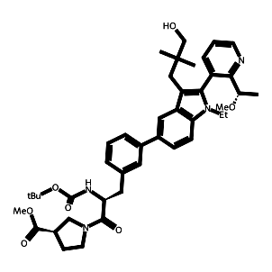 CCn1c(-c2cccnc2[C@H](C)OC)c(CC(C)(C)CO)c2cc(-c3cccc(C[C@H](NC(=O)OC(C)(C)C)C(=O)N4CC[C@@H](C(=O)OC)C4)c3)ccc21